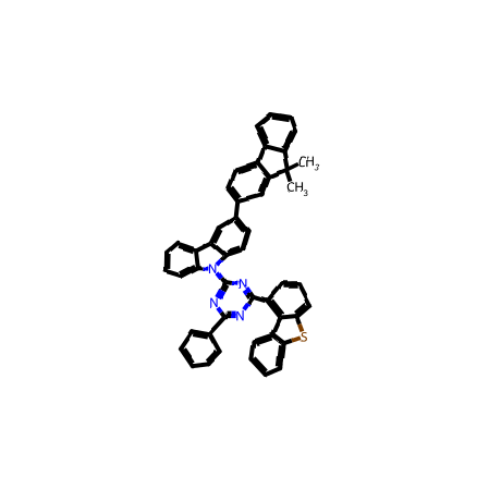 CC1(C)c2ccccc2-c2ccc(-c3ccc4c(c3)c3ccccc3n4-c3nc(-c4ccccc4)nc(-c4cccc5sc6ccccc6c45)n3)cc21